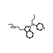 CCCN(c1ccncc1)n1cc(CCNCC)c2ccccc21